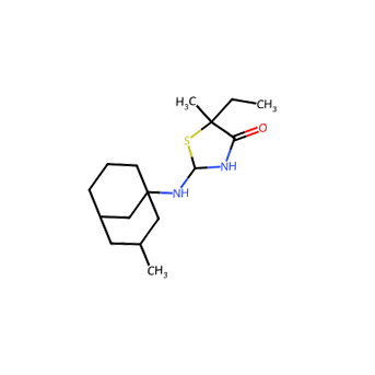 CCC1(C)SC(NC23CCCC(CC(C)C2)C3)NC1=O